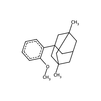 COc1ccccc1C12CC3CC(C)(CC(C)(C3)C1)C2